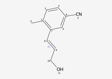 Cc1ccc(C#N)cc1/C=C/CO